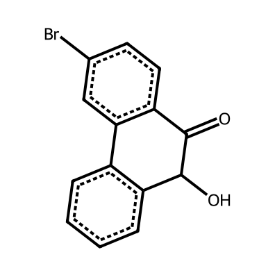 O=C1c2ccc(Br)cc2-c2ccccc2C1O